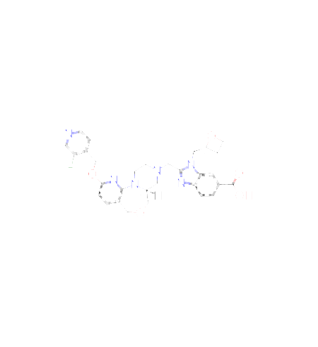 O=C(O)c1ccc2nc(CN3CCN4c5nc(OCc6ccncc6F)ccc5COC[C@H]4C3)n(C[C@@H]3CCO3)c2c1